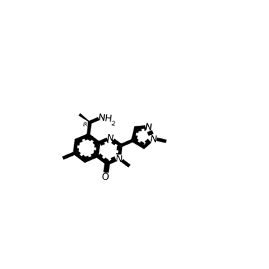 Cc1cc([C@@H](C)N)c2nc(-c3cnn(C)c3)n(C)c(=O)c2c1